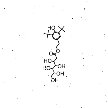 CC(C)(C)c1cc(CCOC(=O)CC(O)C(O)C(O)C(O)CO)cc(C(C)(C)C)c1O